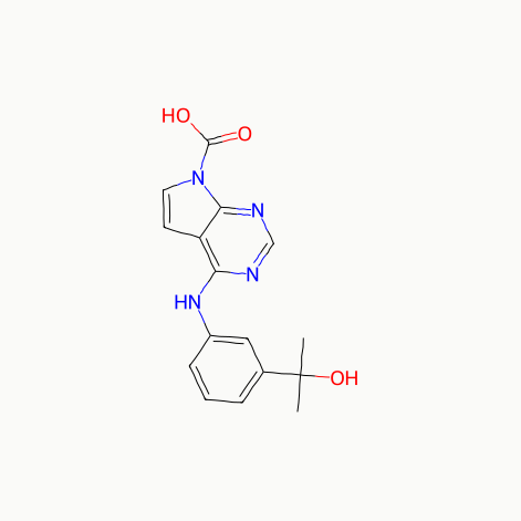 CC(C)(O)c1cccc(Nc2ncnc3c2ccn3C(=O)O)c1